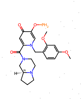 COc1ccc(Cn2cc(OP)c(=O)cc2C(=O)N2CCN3CCC[C@H]3C2)c(OC)c1